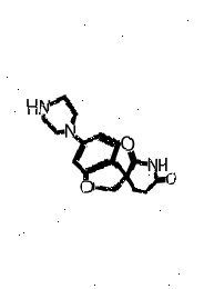 O=C1CCC2(COc3cc(N4CCNCC4)ccc32)C(=O)N1